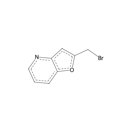 BrCc1cc2ncccc2o1